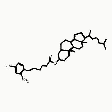 CC(C)CCCC(C)C1CCC2C3CCC4CC(OC(=O)CCCCCc5ccc(N)cc5N)CCC4(C)C3CCC12C